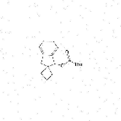 CC(C)(C)C(=O)OC1c2ccccc2CC12CCC2